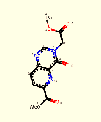 COC(=O)c1ccc2ncn(CC(=O)OC(C)(C)C)c(=O)c2n1